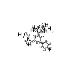 CCn1cncc1-c1cc(-c2ccc(F)cc2)cc(C(O)NC(C)(C)C)c1